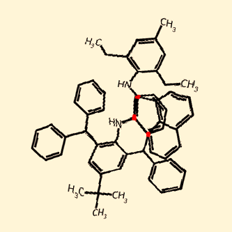 CCc1cc(C)cc(CC)c1NC1c2cccc3cccc(c23)C1Nc1c(C(c2ccccc2)c2ccccc2)cc(C(C)(C)C)cc1C(c1ccccc1)c1ccccc1